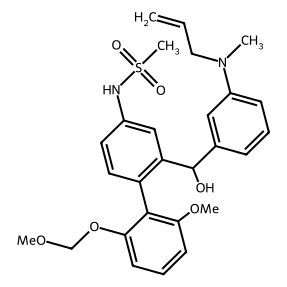 C=CCN(C)c1cccc(C(O)c2cc(NS(C)(=O)=O)ccc2-c2c(OC)cccc2OCOC)c1